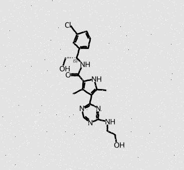 Cc1[nH]c(C(=O)N[C@H](CO)c2cccc(Cl)c2)c(C)c1-c1ncnc(NCCO)n1